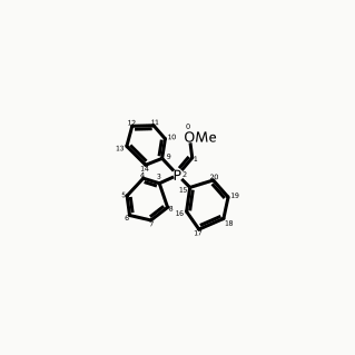 COC=P(c1ccccc1)(c1ccccc1)c1ccccc1